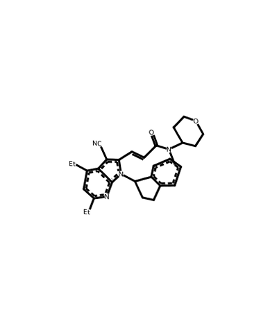 CCc1cc(CC)c2c(C#N)c(C=CC(=O)N(C)C3CCOCC3)n(C3CCc4ccccc43)c2n1